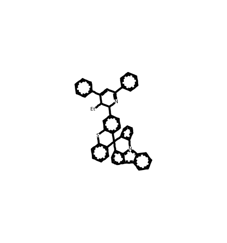 CCC1C(c2ccccc2)=CC(c2ccccc2)=NC1c1ccc2c(c1)Sc1ccccc1C21c2ccccc2-n2c3ccccc3c3cccc1c32